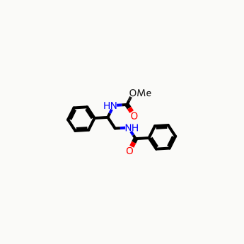 COC(=O)NC(CNC(=O)c1ccccc1)c1ccccc1